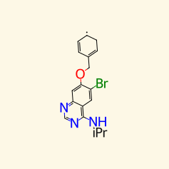 CC(C)Nc1ncnc2cc(OCC3=CC[CH]C=C3)c(Br)cc12